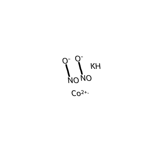 O=N[O-].O=N[O-].[Co+2].[KH]